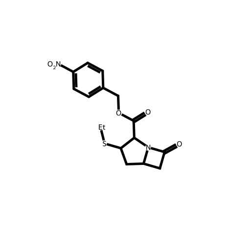 CCSC1CC2CC(=O)N2C1C(=O)OCc1ccc([N+](=O)[O-])cc1